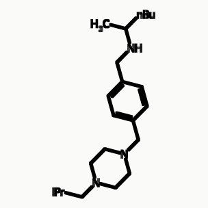 CCCCC(C)NCc1ccc(CN2CCN(CC(C)C)CC2)cc1